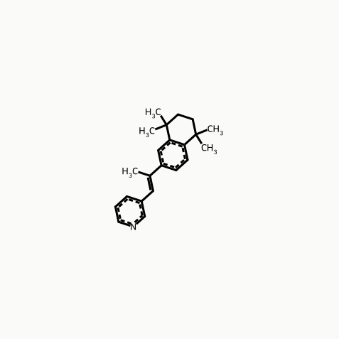 CC(=Cc1cccnc1)c1ccc2c(c1)C(C)(C)CCC2(C)C